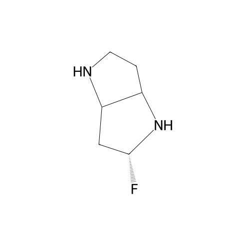 F[C@@H]1CC2NCCC2N1